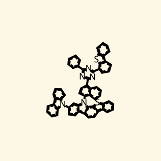 c1ccc(-c2nc(-c3ccc(-n4c5cc(-n6c7ccccc7c7ccccc76)ccc5c5ccc6c7ccccc7sc6c54)c4ccccc34)nc(-c3cccc4c3sc3ccccc34)n2)cc1